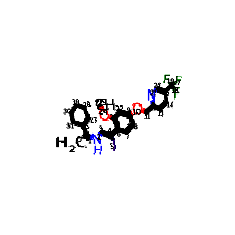 C=C(N/C=C(\I)c1ccc(OCc2ccc(C(F)(F)F)cn2)cc1OC)C1CCCCC1